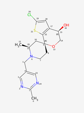 Cc1ncc(CN2CC[C@]3(C[C@@H]2C)OC[C@H](O)c2cc(Cl)sc23)cn1